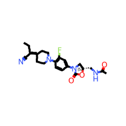 CCC(C#N)=C1CCN(c2ccc(N3C[C@H](CNC(C)=O)OC3=O)cc2F)CC1